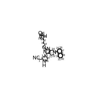 N#CCC1CN(c2nc(OCCCN3CC4OC[C@H]43)nc3c2CCN(c2cccc4ccccc24)C3)CCN1